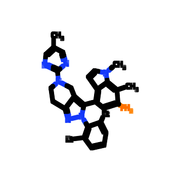 CCc1cccc(CC)c1-n1nc2c(c1-c1cc(P)c(C)c3c1ccn3C)CN(c1ncc(C)cn1)CC2